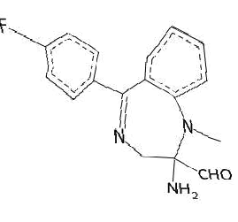 CN1c2ccccc2C(c2ccc(F)cc2)=NCC1(N)C=O